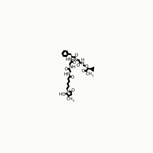 CC(=O)C(OCNC(=O)CNC(=O)[C@H](Cc1ccccc1)NC(=O)CNC(=O)CNC(=O)CCCCCN1C(=O)CC(C)C1O)C1CC1